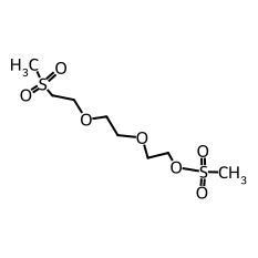 CS(=O)(=O)CCOCCOCCOS(C)(=O)=O